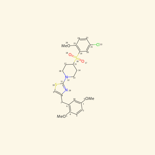 COc1ccc(OC)c(Cc2csc(N3CCC(S(=O)(=O)c4cc(Cl)ccc4OC)CC3)n2)c1